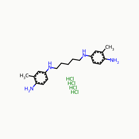 Cc1cc(NCCCCCNc2ccc(N)c(C)c2)ccc1N.Cl.Cl.Cl.Cl